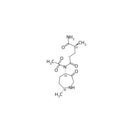 C[C@@H]1CC[C@H](N(C(=O)[CH]C[C@H](C)C(N)=O)S(C)(=O)=O)C(=O)CN1